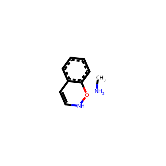 C1=Cc2ccccc2ON1.CN